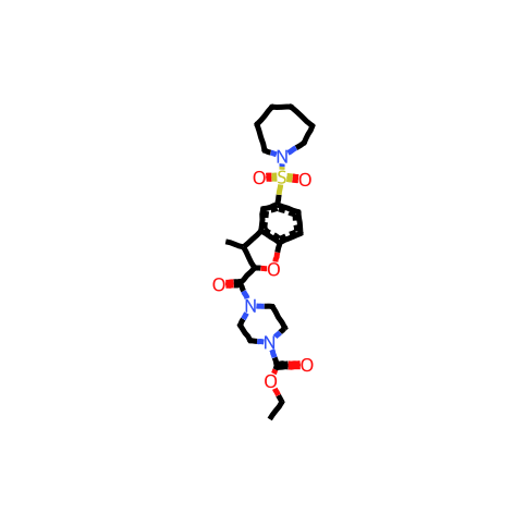 CCOC(=O)N1CCN(C(=O)C2Oc3ccc(S(=O)(=O)N4CCCCCC4)cc3C2C)CC1